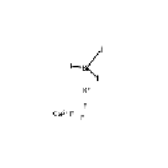 [Ca+2].[F-].[F-].[F-].[I][Bi]([I])[I].[K+]